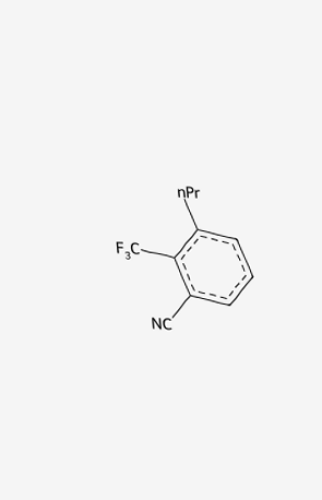 CCCc1cccc(C#N)c1C(F)(F)F